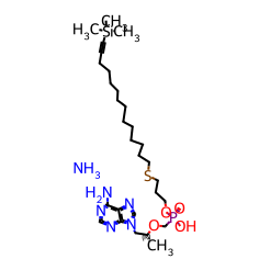 C[C@H](Cn1cnc2c(N)ncnc21)OCP(=O)(O)OCCCSCCCCCCCCCCCCC#C[Si](C)(C)C.N